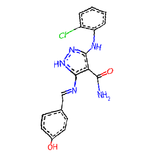 NC(=O)c1c(Nc2ccccc2Cl)n[nH]c1/N=C/c1ccc(O)cc1